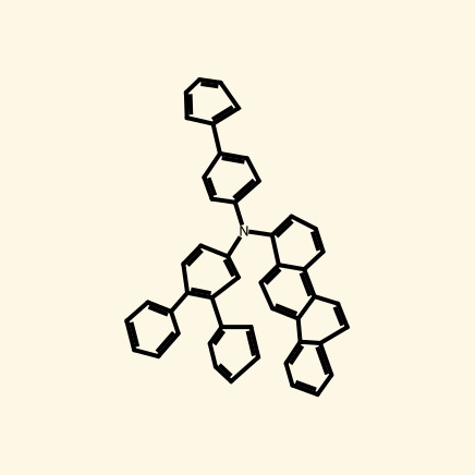 c1ccc(-c2ccc(N(c3ccc(-c4ccccc4)c(-c4ccccc4)c3)c3cccc4c3ccc3c5ccccc5ccc43)cc2)cc1